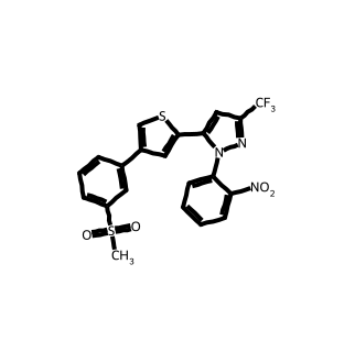 CS(=O)(=O)c1cccc(-c2csc(-c3cc(C(F)(F)F)nn3-c3ccccc3[N+](=O)[O-])c2)c1